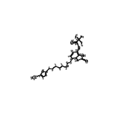 Cc1ccc(CCCCCNCCc2ccc(OC(=O)C(F)(F)F)c3[nH]c(=O)sc23)o1